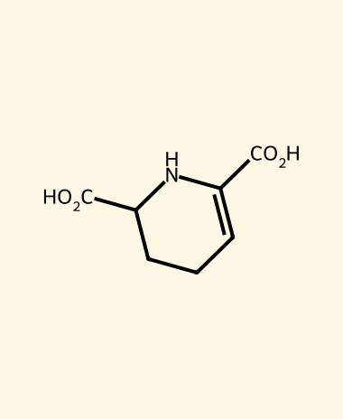 O=C(O)C1=CCCC(C(=O)O)N1